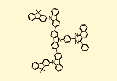 CC1(C)c2ccccc2-c2ccc(-n3c4ccccc4c4ccc(-c5ccc6c7ccc(-c8ccc9c%10ccccc%10n(-c%10ccc%11c(c%10)C(C)(C)c%10ccccc%10-%11)c9c8)cc7n(-c7ccc(-c8nc(-c9ccccc9)c9ccc%10ccccc%10c9n8)cc7)c6c5)cc43)cc21